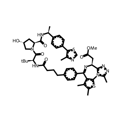 COC(=O)C[C@@H]1N=C(c2ccc(CCCC(=O)N[C@H](C(=O)N3C[C@H](O)C[C@H]3C(=O)N[C@@H](C)c3ccc(-c4scnc4C)cc3)C(C)(C)C)cc2)c2c(sc(C)c2C)-n2c(C)nnc21